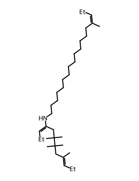 CC/C=C(/C)CCCCCCCCCCCCCCN/C(=C/CC)CC(C)(C)C(C)(C)C/C(C)=C/CC